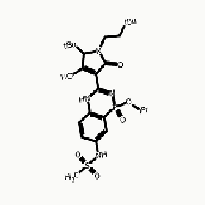 CC(C)OP1(=O)N=C(C2=C(O)C(C(C)(C)C)N(CCC(C)(C)C)C2=O)Nc2ccc(NS(C)(=O)=O)cc21